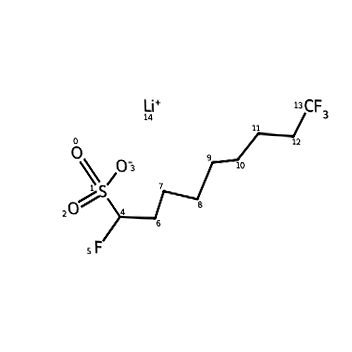 O=S(=O)([O-])C(F)CCCCCCCC(F)(F)F.[Li+]